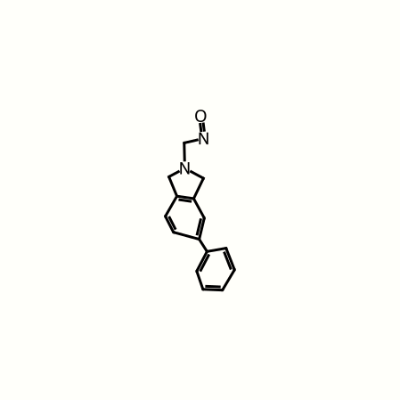 O=NCN1Cc2ccc(-c3ccccc3)cc2C1